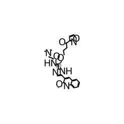 COc1nc2ccccc2cc1-c1cnc([C@H](COCCCC(=O)c2ccon2)NC(=O)CN(C)C)[nH]1